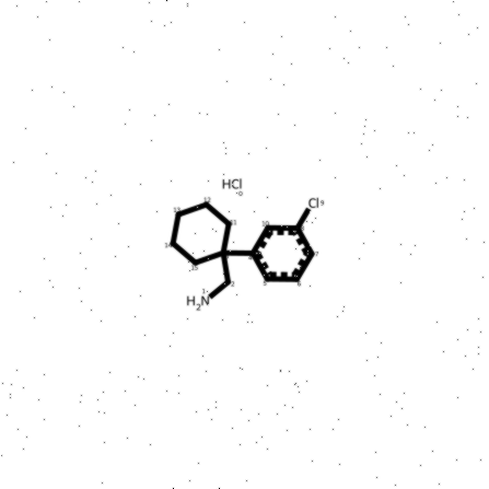 Cl.NCC1(c2cccc(Cl)c2)CCCCC1